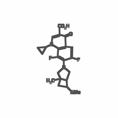 CNC1CC2(C)CN(c3c(F)cc4c(=O)c(C(=O)O)cn(C5CC5)c4c3F)CC12